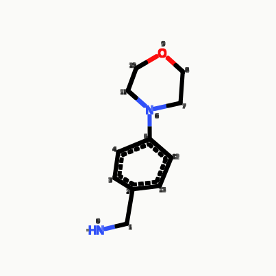 [NH]Cc1ccc(N2CCOCC2)cc1